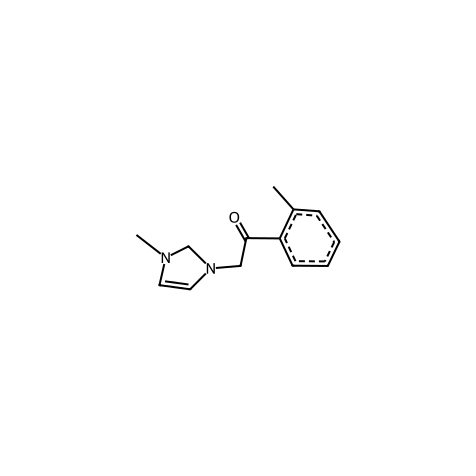 Cc1ccccc1C(=O)CN1C=CN(C)C1